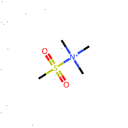 C[N+](C)(C)S(C)(=O)=O